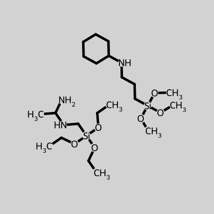 CCO[Si](CNC(C)N)(OCC)OCC.CO[Si](CCCNC1CCCCC1)(OC)OC